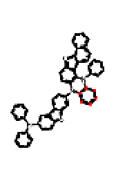 c1ccc(N(c2ccccc2)c2ccc3sc4cc(N(c5ccccc5)c5ccc6oc7c8ccccc8ccc7c6c5N(c5ccccc5)c5ccccc5)ccc4c3c2)cc1